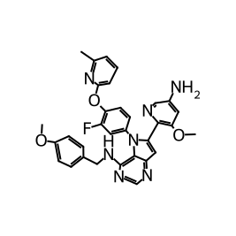 COc1ccc(CNc2ncnc3cc(-c4ncc(N)cc4OC)n(-c4ccc(Oc5cccc(C)n5)c(F)c4)c23)cc1